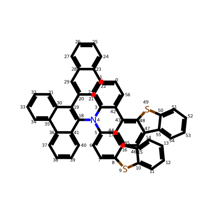 c1ccc(N(c2ccc3sc4ccccc4c3c2)c2c(-c3ccc4ccccc4c3)c3ccccc3c3ccccc23)c(-c2cccc3c2sc2ccccc23)c1